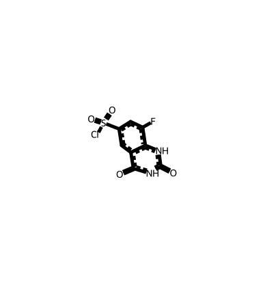 O=c1[nH]c(=O)c2cc(S(=O)(=O)Cl)cc(F)c2[nH]1